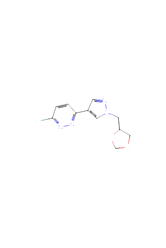 Clc1ccc(-c2cnn(CC3COCO3)c2)nn1